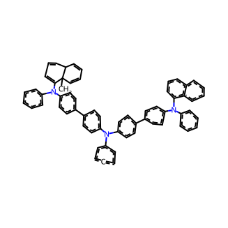 CC12C=CC=CC1C=CC=C2N(c1ccccc1)c1ccc(-c2ccc(N(c3ccccc3)c3ccc(-c4ccc(N(c5ccccc5)c5cccc6ccccc56)cc4)cc3)cc2)cc1